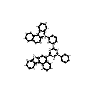 c1ccc(-c2nc(-c3cccc(-n4c5ccccc5c5c6ccccc6ccc54)c3)nc(-c3cc4oc5ccccc5c4c4ccccc34)n2)cc1